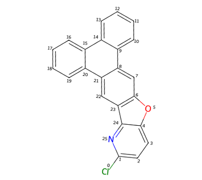 Clc1ccc2oc3cc4c5ccccc5c5ccccc5c4cc3c2n1